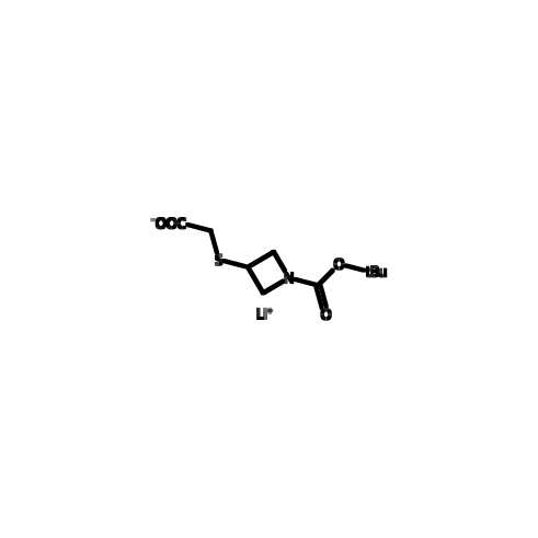 CC(C)(C)OC(=O)N1CC(SCC(=O)[O-])C1.[Li+]